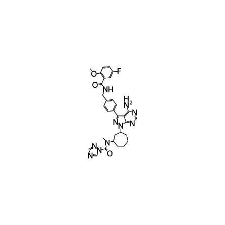 COc1ccc(F)cc1C(=O)NCc1ccc(-c2nn(C3CCCCC(N(C)C(=O)n4cncn4)C3)c3ncnc(N)c23)cc1